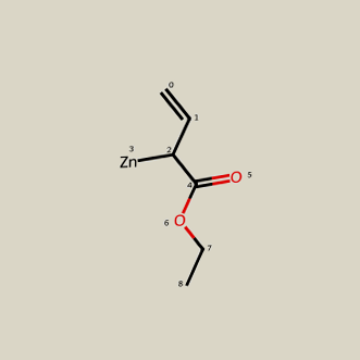 C=C[CH]([Zn])C(=O)OCC